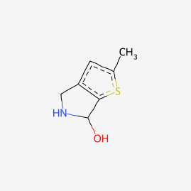 Cc1cc2c(s1)C(O)NC2